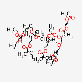 C=C(C)C(=O)OCCC[SiH2]OC(C)=O.C=C(C)C(=O)OCCC[Si](C)(OCC)OCC.CC(=O)OC=COC(C)=O.CCO[SiH](OCC)OCC.CO[SiH](CCCOCC1CO1)OC